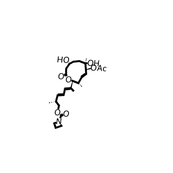 CC(=O)O[C@H]1/C=C/[C@H](C)[C@@H](/C(C)=C/C=C/[C@@H](C)COC(=O)N2CCC2)OC(=O)C[C@H](O)CC[C@@]1(C)O